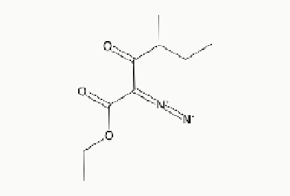 CCOC(=O)C(=[N+]=[N-])C(=O)C(C)CC